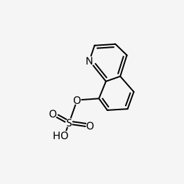 O=S(=O)(O)Oc1cccc2cccnc12